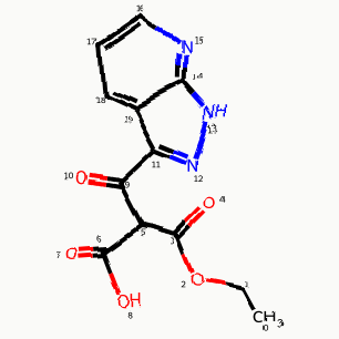 CCOC(=O)C(C(=O)O)C(=O)c1n[nH]c2ncccc12